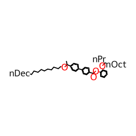 CCCCCCCCCCCCCCCCCCCCOC(C)c1ccc(-c2ccc(C(=O)Oc3ccccc3OC(CCC)CCCCCCCC)cc2)cc1